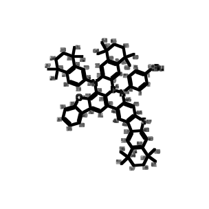 CC(C)(C)c1ccc(N2B3c4cc5c(cc4N(c4ccc6c(c4)C(C)(C)CCC6(C)C)c4c3c(cc3c4oc4ccccc43)-c3cc4c(cc32)sc2cc3c(cc24)C(C)(C)CCC3(C)C)C(C)(C)CCC5(C)C)cc1